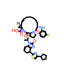 CC(C)n1c(O[C@@H]2C[C@H]3C(=O)N[C@]4(C(=O)O)C[C@H]4/C=C\CCCCC[C@H](Nc4cccc(F)c4)C(=O)N3C2)nc2c1C=CCC2c1nc(C2CCCC2)cs1